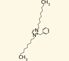 CCCCCCCCCCn1cc[n+](CCCCCCCCC)c1Cc1ccccc1